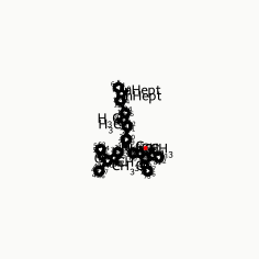 CCCCCCCC1(CCCCCCC)c2ccccc2-c2ccc(-c3ccc4c(c3)C(C)(C)c3cc(-c5ccc(N(c6ccc7c(c6)C(C)(C)c6cc(-c8ccccc8)c8oc9ccccc9c8c6-7)c6ccc7c(c6)C(C)(C)c6c8c(c9c(oc%10ccccc%109)c6-7)-c6ccccc6C8(C)C)cc5)ccc3-4)cc21